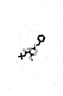 COC(=O)C(NC(=O)OCc1ccccc1)C(=O)CC(C)(C)C